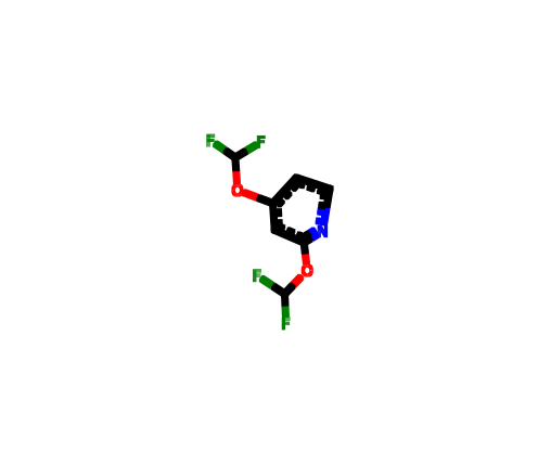 FC(F)Oc1ccnc(OC(F)F)c1